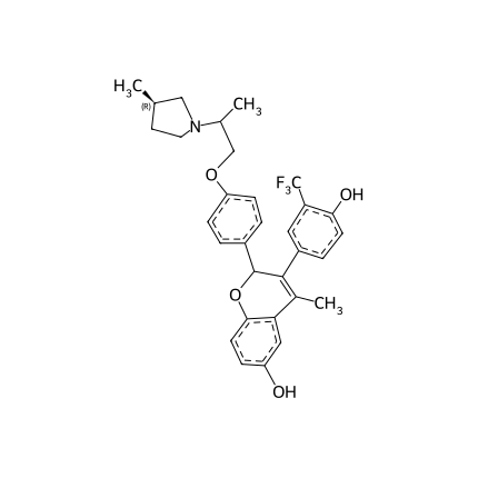 CC1=C(c2ccc(O)c(C(F)(F)F)c2)C(c2ccc(OCC(C)N3CC[C@@H](C)C3)cc2)Oc2ccc(O)cc21